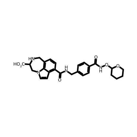 O=C(NOC1CCCCO1)c1ccc(CNC(=O)c2ccc3c4c2ccn4CC(C(=O)O)NC3)cc1